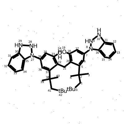 CC(C)(C)CC(C)(C)c1cc(N2NNc3ccccc32)cc(O)c1Cc1c(O)cc(N2NNc3ccccc32)cc1C(C)(C)CC(C)(C)C